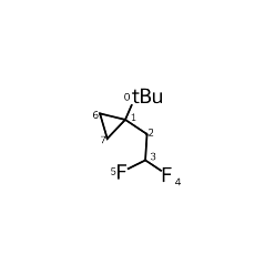 CC(C)(C)C1(CC(F)F)CC1